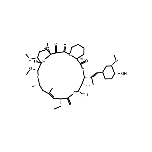 C=C1C[C@H](O)[C@@H](C)[C@@H](/C(C)=C/[C@@H]2CC[C@@H](O)[C@H](OC)C2)OC(=O)[C@@H]2CCCCN2C(=O)C(=O)[C@]2(O)O[C@H]([C@@H](OC)C[C@@H](C)C/C(C)=C/[C@H]1CC)[C@@H](OC)C[C@H]2C